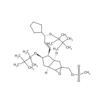 CC(C)(C)[Si](C)(C)O[C@H](/C=C/[C@H]1[C@H]2CC3(COS(C)(=O)=O)OC3[C@H]2C[C@H]1O[Si](C)(C)C(C)(C)C)C1CCCC1